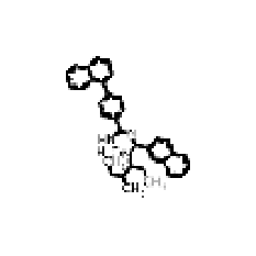 C=CC(=C)C(CC)N(C)/C(=N\C(=N)c1ccc(-c2cccc3ccccc23)cc1)c1ccc2ccccc2c1